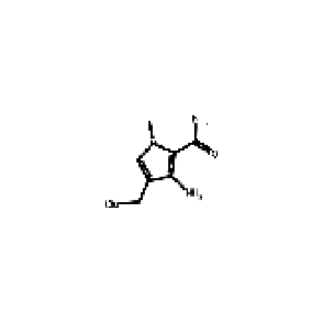 Cn1cc(CC(C)(C)C)c(N)c1C(N)=O